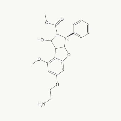 COC(=O)C1C(O)C2c3c(OC)cc(OCCN)cc3OC2[C@@H]1c1ccccc1